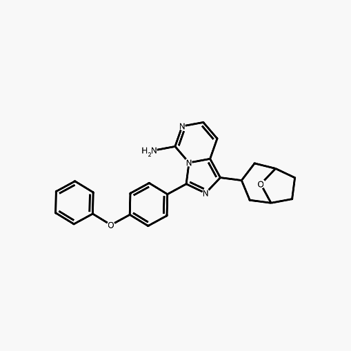 Nc1nccc2c(C3CC4CCC(C3)O4)nc(-c3ccc(Oc4ccccc4)cc3)n12